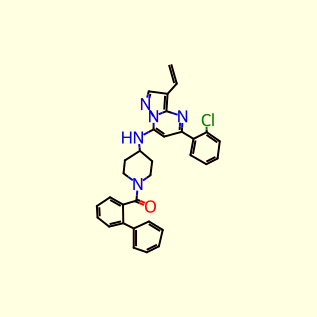 C=Cc1cnn2c(NC3CCN(C(=O)c4ccccc4-c4ccccc4)CC3)cc(-c3ccccc3Cl)nc12